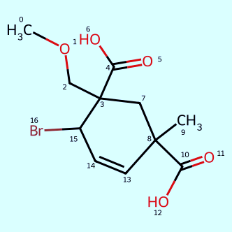 COCC1(C(=O)O)CC(C)(C(=O)O)C=CC1Br